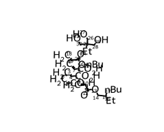 C=CC(=O)O.C=CC(=O)O.C=CC(=O)O.C=CC(=O)OCC(CC)CCCC.C=CC(=O)OCCCC.CCC(CO)(CO)CO